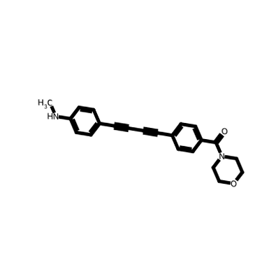 CNc1ccc(C#CC#Cc2ccc(C(=O)N3CCOCC3)cc2)cc1